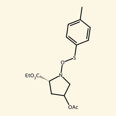 CCOC(=O)[C@H]1CC(OC(C)=O)CN1OSc1ccc(C)cc1